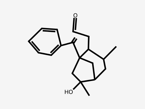 C=C(c1ccccc1)C12CC(CC(C)C1CC=O)C(C)(O)C2